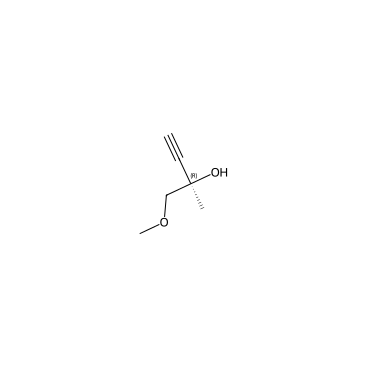 C#C[C@@](C)(O)COC